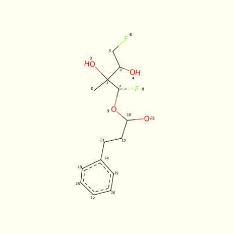 CC(O)(C(O)CF)C(F)OC([O])CCc1ccccc1